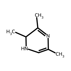 CC1=CNC(C)C(C)=N1